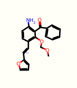 COCOc1c(/C=C/c2ccco2)ccc(N)c1C(=O)c1ccccc1